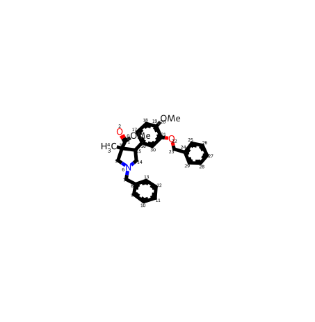 COC(=O)C1(C)CN(Cc2ccccc2)CC1c1ccc(OC)c(OCc2ccccc2)c1